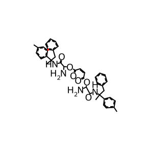 Cc1ccc(C(C)(Cc2ccccc2)NC(=O)C(N)OC(=O)/C=C\C(=O)OC(N)C(=O)NC(C)(Cc2ccccc2)c2ccc(C)cc2)cc1